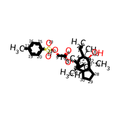 C=C[C@]1(C)C[C@@H](OC(=O)COS(=O)(=O)c2ccc(C)cc2)[C@]2(C)C(C)CC[C@]3(CCC[C@H]32)[C@@H](C)[C@@H]1O